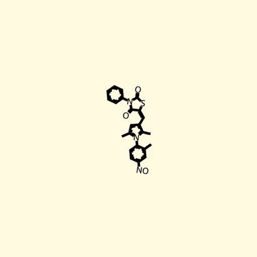 Cc1cc(N=O)ccc1-n1c(C)cc(C=C2SC(=O)N(c3ccccc3)C2=O)c1C